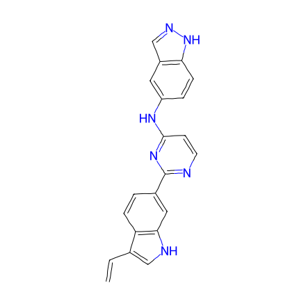 C=Cc1c[nH]c2cc(-c3nccc(Nc4ccc5[nH]ncc5c4)n3)ccc12